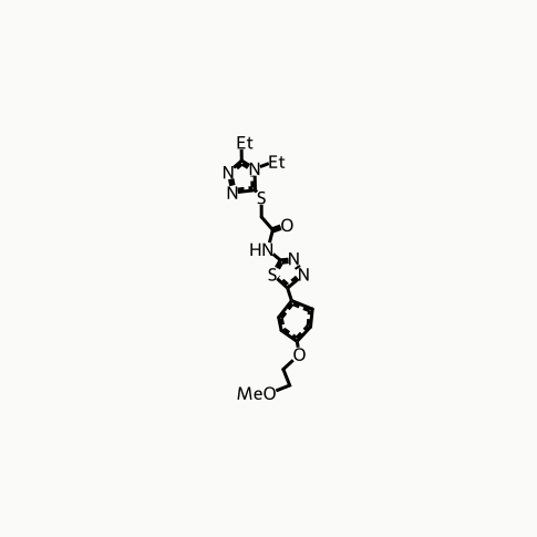 CCc1nnc(SCC(=O)Nc2nnc(-c3ccc(OCCOC)cc3)s2)n1CC